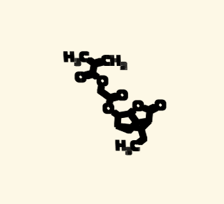 C=C(C)C(=O)OCC(=O)OC1C2CC3C1OC(=O)C3C2CC